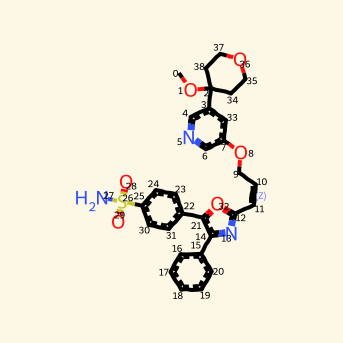 COC1(c2cncc(OC/C=C\c3nc(-c4ccccc4)c(-c4ccc(S(N)(=O)=O)cc4)o3)c2)CCOCC1